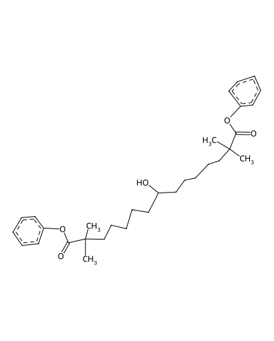 CC(C)(CCCCCC(O)CCCCCC(C)(C)C(=O)Oc1ccccc1)C(=O)Oc1ccccc1